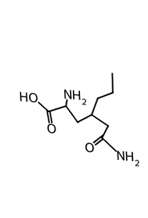 CCCC(CC(N)=O)CC(N)C(=O)O